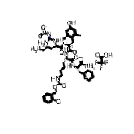 Cc1cc(O)cc(C)c1C[C@H](NC(=O)[C@@H](CCCN)N/C(N)=N/[N+](=O)[O-])C(=O)N[C@@H](CCCCNC(=O)OCc1ccccc1Cl)C(=O)N[C@@H](Cc1ccccc1)C(N)=O.O=C(O)C(F)(F)F